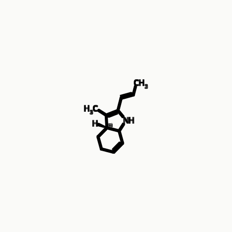 CC=CC1=C(C)[C@H]2CCC=CC2N1